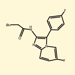 CCC(C)CC(=O)Nc1nc2ccc(F)cn2c1-c1ccc(F)cc1